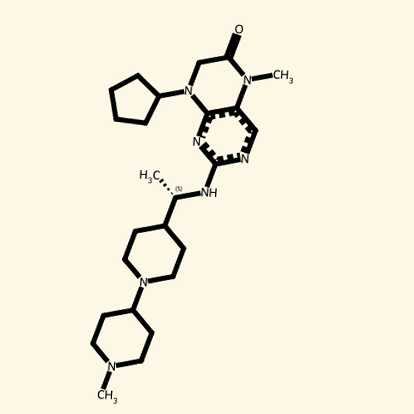 C[C@H](Nc1ncc2c(n1)N(C1CCCC1)CC(=O)N2C)C1CCN(C2CCN(C)CC2)CC1